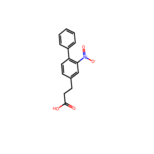 O=C(O)CCc1ccc(-c2ccccc2)c([N+](=O)[O-])c1